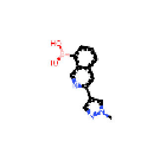 Cn1cc(-c2cc3cccc(B(O)O)c3cn2)cn1